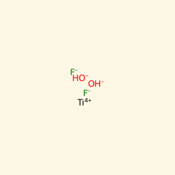 [F-].[F-].[OH-].[OH-].[Ti+4]